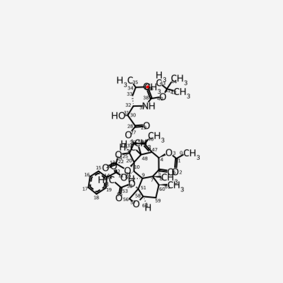 CC(=O)O[C@H]1C(=O)[C@@]2(C)[C@H]([C@H](OC(=O)c3ccccc3)[C@]34OC(=O)O[C@H]3[C@H](OC(=O)[C@H](O)[C@H](CC(C)C)NC(=O)OC(C)(C)C)C(C)=C1C4(C)C)[C@]1(OC(C)=O)CO[C@@H]1C[C@@H]2C